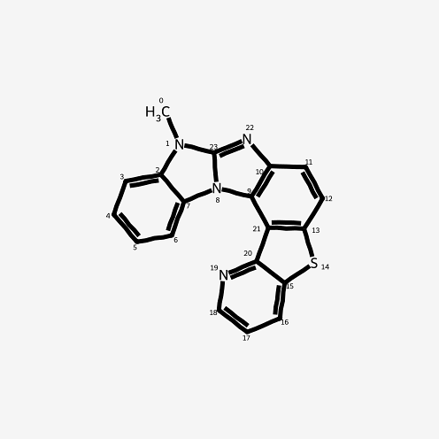 Cn1c2ccccc2n2c3c(ccc4sc5cccnc5c43)nc12